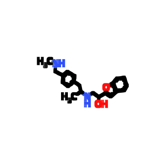 CNCc1ccc(CC(C)NCC(O)c2cc3ccccc3o2)cc1